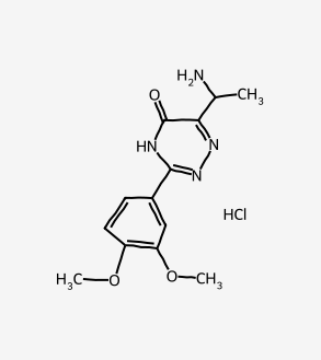 COc1ccc(-c2nnc(C(C)N)c(=O)[nH]2)cc1OC.Cl